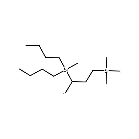 [CH2]C(CC[Si](C)(C)C)[Si](C)(CCCC)CCCC